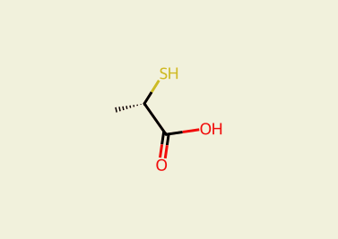 C[C@H](S)C(=O)O